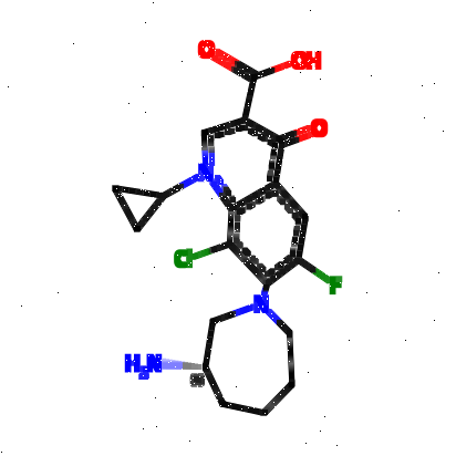 N[C@H]1CCCCN(c2c(F)cc3c(=O)c(C(=O)O)cn(C4CC4)c3c2Cl)C1